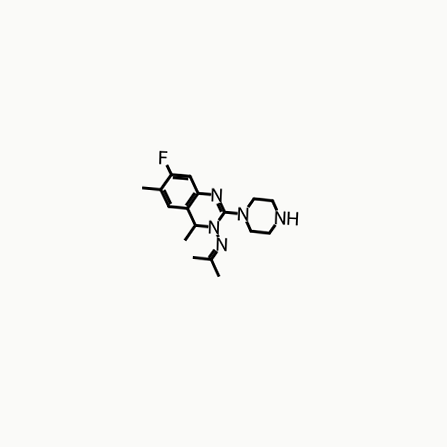 CC(C)=NN1C(N2CCNCC2)=Nc2cc(F)c(C)cc2C1C